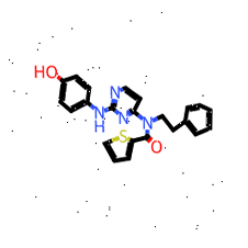 O=C(c1cccs1)N(CCc1ccccc1)c1ccnc(Nc2ccc(O)cc2)n1